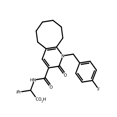 CC(C)C(NC(=O)c1cc2c(n(Cc3ccc(F)cc3)c1=O)CCCCCC2)C(=O)O